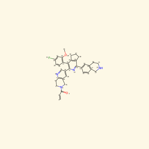 C=CC(=O)N1CCc2ncc(-c3nc(-c4ccc5c(c4)CCNC5)c4c(c3-c3ccc(F)cc3OC)CCC4)cc2C1